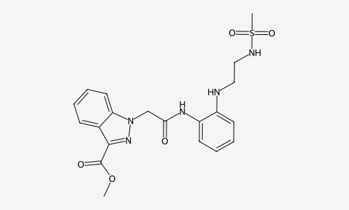 COC(=O)c1nn(CC(=O)Nc2ccccc2NCCNS(C)(=O)=O)c2ccccc12